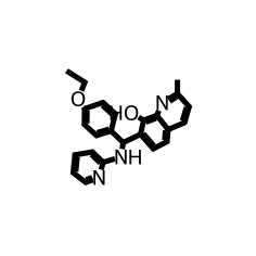 CCOc1ccc(C(Nc2ccccn2)c2ccc3ccc(C)nc3c2O)cc1